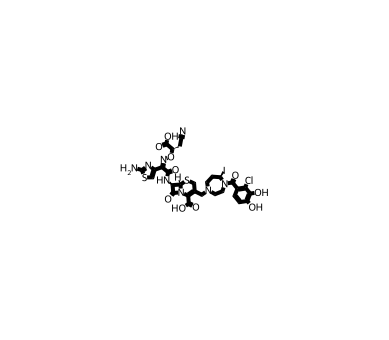 N#CC[C@H](O/N=C(\C(=O)N[C@@H]1C(=O)N2C(C(=O)O)=C(CN3CC[C@@H](I)N(C(=O)c4ccc(O)c(O)c4Cl)CC3)CS[C@H]12)c1csc(N)n1)C(=O)O